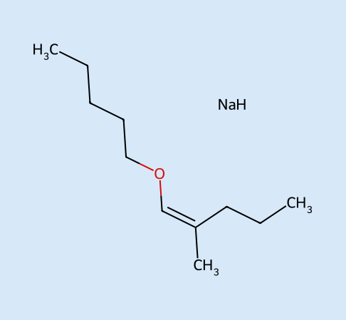 CCCCCOC=C(C)CCC.[NaH]